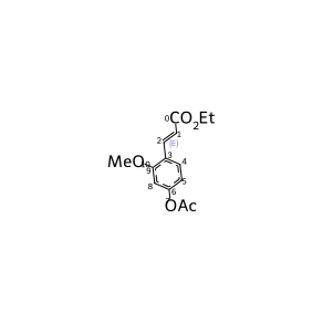 CCOC(=O)/C=C/c1ccc(OC(C)=O)cc1OC